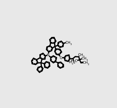 C=CC(C)(C)[C@@H](C)CC(C)c1ccc(Oc2ccc(C3(c4ccc(C)cc4)c4ccccc4-c4ccc(N(c5ccc(-c6ccccc6)cc5)c5ccc6c(c5)C(c5ccccc5)(c5ccccc5)c5ccccc5-6)cc43)cc2)cc1